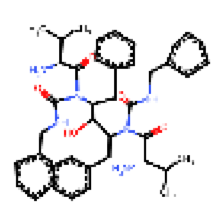 CC(C)[C@H](N)C(=O)N(C(=O)NCc1ccccc1)C(Cc1ccccc1)C(O)C(Cc1ccccc1)N(C(=O)NCc1ccccc1)C(=O)[C@@H](N)C(C)C